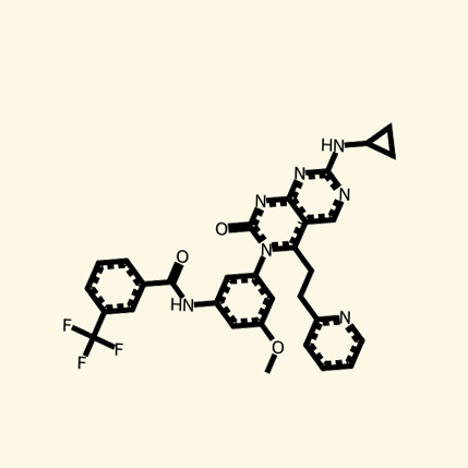 COc1cc(NC(=O)c2cccc(C(F)(F)F)c2)cc(-n2c(CCc3ccccn3)c3cnc(NC4CC4)nc3nc2=O)c1